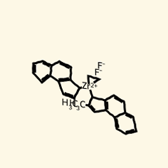 CC1=Cc2c(ccc3ccccc23)[CH]1[Zr+2]1([CH]2C(C)=Cc3c2ccc2ccccc32)[CH2][CH2]1.[F-].[F-]